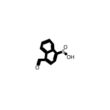 O=Cc1ccc(S(=O)O)c2ccccc12